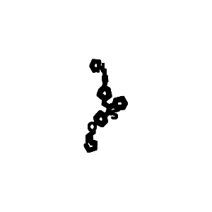 C(#Cc1ccc(Cc2c(-c3ccc(OCCN4CCCC4)cc3)sc3ccccc23)cc1)CN1CCCC1